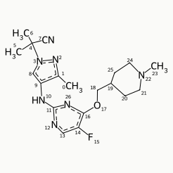 Cc1nn(C(C)(C)C#N)cc1Nc1ncc(F)c(OCC2CCN(C)CC2)n1